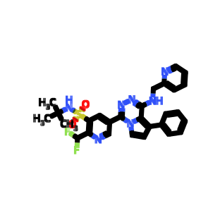 CC(C)(C)NS(=O)(=O)c1cc(-c2nnc(NCc3ccccn3)c3c(-c4ccccc4)ccn23)cnc1C(F)F